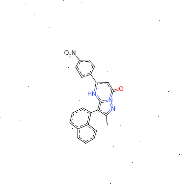 Cc1nn2c(=O)cc(-c3ccc([N+](=O)[O-])cc3)[nH]c2c1-c1cccc2ccccc12